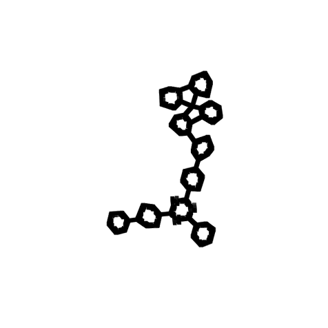 c1ccc(-c2ccc(-c3nc(-c4ccccc4)nc(-c4ccc(-c5cccc(-c6cccc7c6-c6ccccc6C76c7ccccc7-c7ccccc76)c5)cc4)n3)cc2)cc1